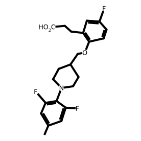 Cc1cc(F)c(N2CCC(COc3ccc(F)cc3CCC(=O)O)CC2)c(F)c1